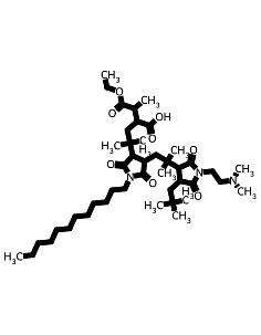 CCCCCCCCCCCCN1C(=O)C(CC(C)(C)C2C(=O)N(CCN(C)C)C(=O)C2CC(C)(C)C)C(C(C)(C)CC(C(=O)O)C(C)C(=O)OCC)C1=O